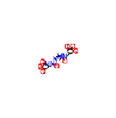 COc1cc(CNC(=O)c2ccnc(C(=O)NCc3cc(OC)c(OC)c(OC)c3)c2)cc(OC)c1OC